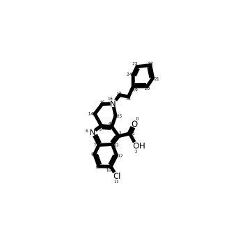 O=C(O)c1c2c(nc3ccc(Cl)cc13)CCN(CCc1ccccc1)C2